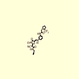 C#CCNC(=O)C(C#N)=c1sc(=CNc2cccc(NC(=O)CN3CCCC3C(F)(F)F)c2)c(=O)n1CC